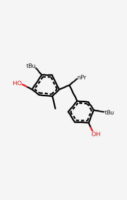 CCCC(c1ccc(O)c(C(C)(C)C)c1)c1cc(C(C)(C)C)c(O)cc1C